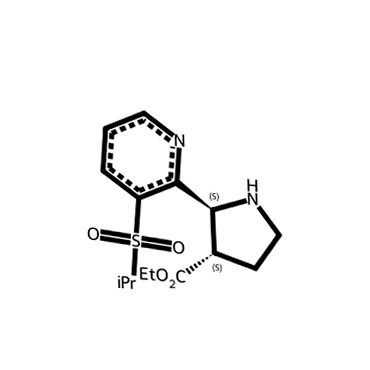 CCOC(=O)[C@H]1CCN[C@@H]1c1ncccc1S(=O)(=O)C(C)C